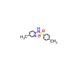 Cc1ccc(S(=O)(=O)Nc2ccc(C)cn2)cc1